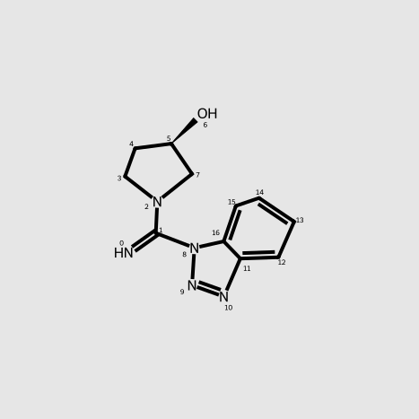 N=C(N1CC[C@@H](O)C1)n1nnc2ccccc21